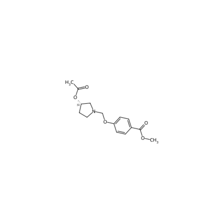 COC(=O)c1ccc(OCN2CC[C@H](OC(C)=O)C2)cc1